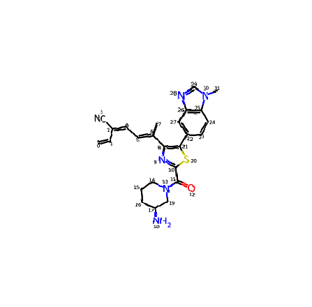 C=C/C(C#N)=C\C=C(/C)c1nc(C(=O)N2CCC[C@H](N)C2)sc1-c1ccc2c(c1)ncn2C